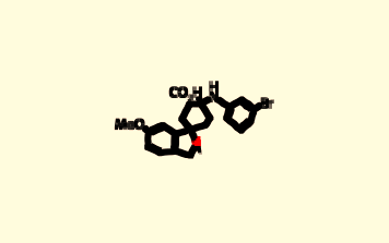 COc1ccc2c(c1)C1(CCC(Nc3cccc(Br)c3)(C(=O)O)CC1)C1(CCCC1)C2